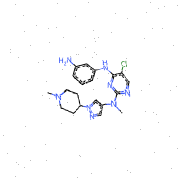 CN1CCC(n2cc(N(C)c3ncc(Cl)c(Nc4cccc(N)c4)n3)cn2)CC1